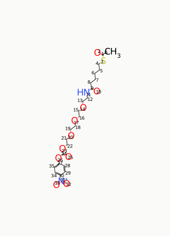 CC(=O)SCCCCCC(=O)NCCOCCOCCOCCOC(=O)Oc1ccc([N+](=O)[O-])cc1